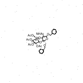 CC(=O)N[C@H]1[C@@H](OCc2ccccc2)O[C@H](COCc2ccccc2)[C@@H](O[C@@H]2O[C@H](COC(C)=O)[C@H](OC(C)=O)[C@H](OC(C)=O)[C@H]2OC(C)=O)[C@@H]1O